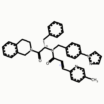 Cc1ccc(/C=C/C(=O)N(Cc2ccc(-n3cccn3)cc2)[C@@H](Cc2ccccc2)C(=O)N2CCc3ccccc3C2)nc1